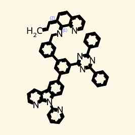 C=C/C=C1/C=Cc2cccnc2/C1=N/Cc1cccc(-c2cc(-c3ccc4c(c3)c3cccnc3n4-c3ccccn3)cc(-c3nc(-c4ccccc4)nc(-c4ccccc4)n3)c2)c1